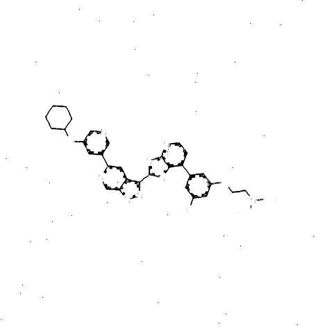 CN(C)CCOc1cc(F)cc(-c2ccnc3[nH]c(-c4n[nH]c5cnc(-c6cncc(OC7CCCCC7)c6)cc45)nc23)c1